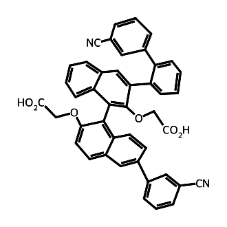 N#Cc1cccc(-c2ccc3c(-c4c(OCC(=O)O)c(-c5ccccc5-c5cccc(C#N)c5)cc5ccccc45)c(OCC(=O)O)ccc3c2)c1